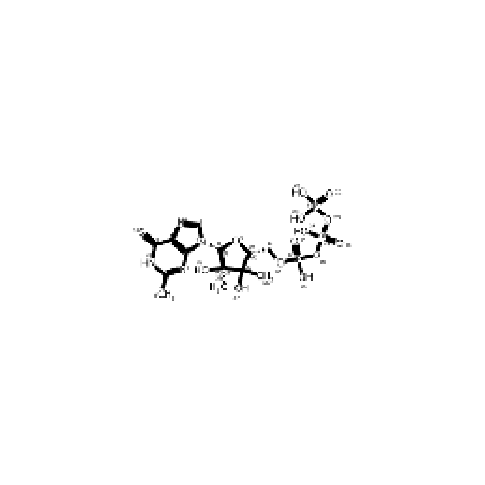 Cc1nc2c(ncn2[C@@H]2O[C@H](COP(=O)(O)OP(=O)(O)OP(=O)(O)O)C(C)(O)[C@@]2(C)O)c(=S)[nH]1